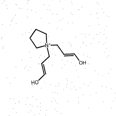 OC=CC[N+]1(CC=CO)CCCC1